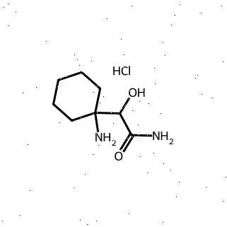 Cl.NC(=O)C(O)C1(N)CCCCC1